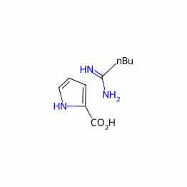 CCCCC(=N)N.O=C(O)c1ccc[nH]1